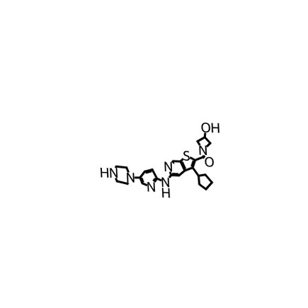 O=C(c1sc2cnc(Nc3ccc(N4CCNCC4)cn3)cc2c1C1CCCC1)N1CC(O)C1